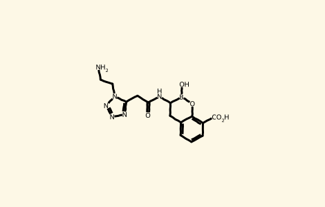 NCCn1nnnc1CC(=O)NC1Cc2cccc(C(=O)O)c2OB1O